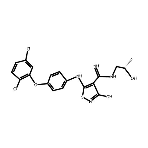 C[C@H](O)CNC(=N)c1c(O)nsc1Nc1ccc(Oc2cc(Cl)ccc2Cl)cc1